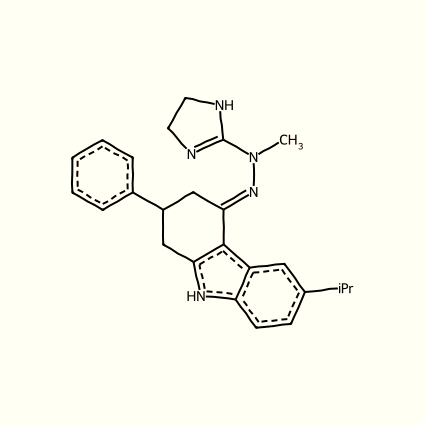 CC(C)c1ccc2[nH]c3c(c2c1)C(=NN(C)C1=NCCN1)CC(c1ccccc1)C3